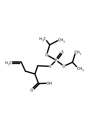 C=CCC(CSP(=S)(OC(C)C)OC(C)C)C(=O)O